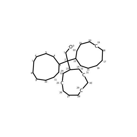 [O]CC(C1CCCCCCCCC1)(C1CCCCCCCCC1)C1CCCCCCCCC1